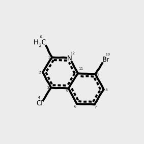 Cc1cc(Cl)c2cccc(Br)c2n1